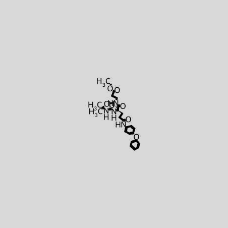 CCOC(=O)CCNC(=O)[C@@H](CCC(=O)Nc1ccc(Oc2ccccc2)cc1)NC(=O)NC(C)(C)C